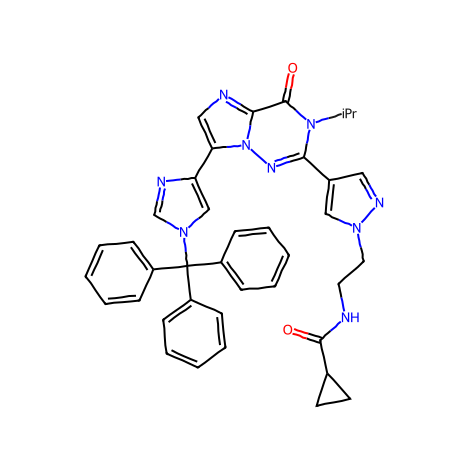 CC(C)n1c(-c2cnn(CCNC(=O)C3CC3)c2)nn2c(-c3cn(C(c4ccccc4)(c4ccccc4)c4ccccc4)cn3)cnc2c1=O